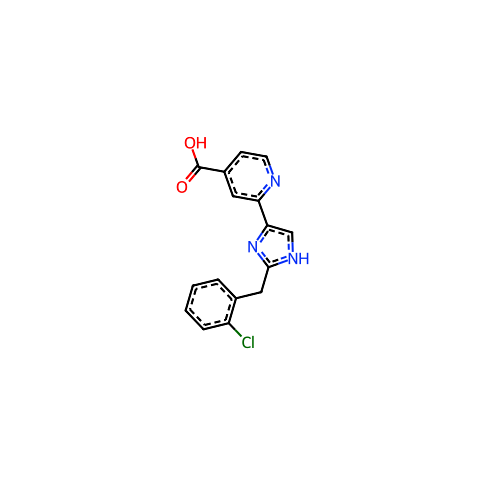 O=C(O)c1ccnc(-c2c[nH]c(Cc3ccccc3Cl)n2)c1